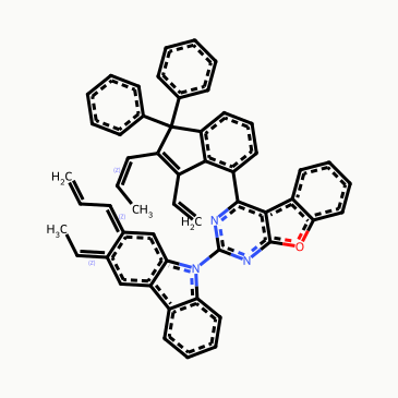 C=C/C=c1/cc2c(c/c1=C/C)c1ccccc1n2-c1nc(-c2cccc3c2C(C=C)=C(/C=C\C)C3(c2ccccc2)c2ccccc2)c2c(n1)oc1ccccc12